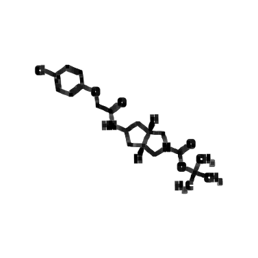 CC(C)(C)OC(=O)N1C[C@H]2CC(NC(=O)COc3ccc(Cl)cc3)C[C@H]2C1